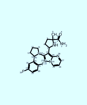 CC1(C(N)=O)CCC(c2c(N3CCC[C@@H]3c3cc(F)ccc3F)nn3cccnc23)N1